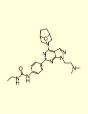 CCNC(=O)Nc1ccc(-c2nc(N3CC4CCC(C3)O4)c3cnn(CCN(C)C)c3n2)cc1